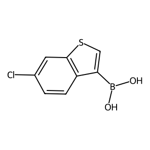 OB(O)c1csc2cc(Cl)ccc12